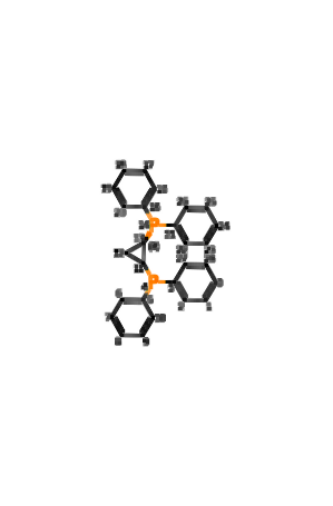 c1ccc(P(c2ccccc2)C2C[C@H]2P(c2ccccc2)c2ccccc2)cc1